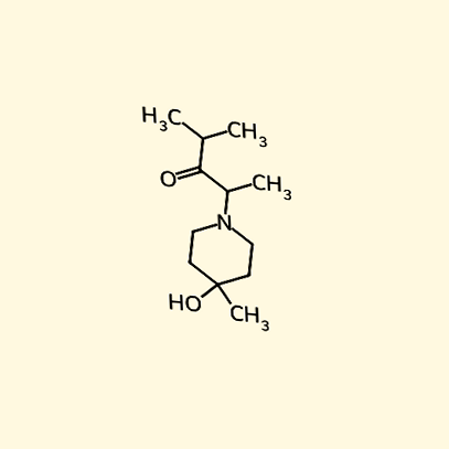 CC(C)C(=O)C(C)N1CCC(C)(O)CC1